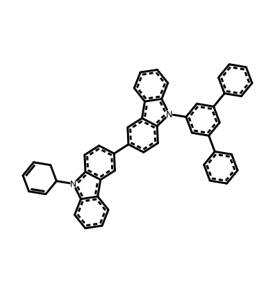 C1=CCC(n2c3ccccc3c3cc(-c4ccc5c(c4)c4ccccc4n5-c4cc(-c5ccccc5)cc(-c5ccccc5)c4)ccc32)C=C1